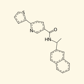 CC(NC(=O)c1ccc(-c2cccs2)nc1)c1ccc2ccccc2c1